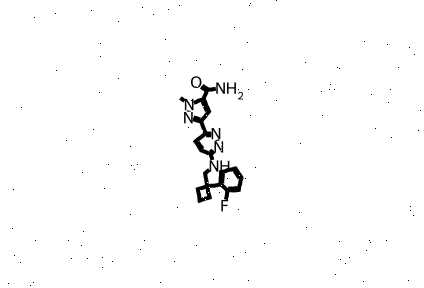 Cn1nc(-c2ccc(NCC3(c4ccccc4F)CCC3)nn2)cc1C(N)=O